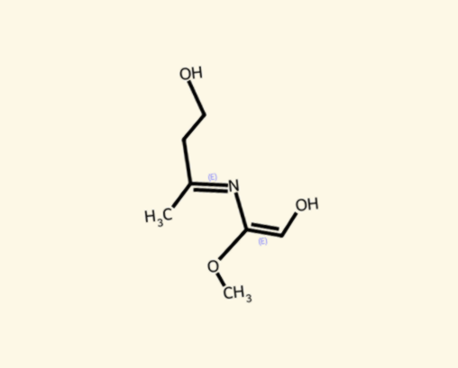 COC(=C/O)/N=C(\C)CCO